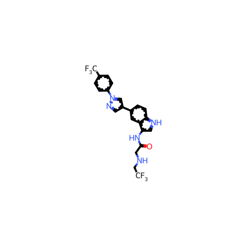 O=C(CNCC(F)(F)F)Nc1c[nH]c2ccc(-c3cnn(-c4ccc(C(F)(F)F)cc4)c3)cc12